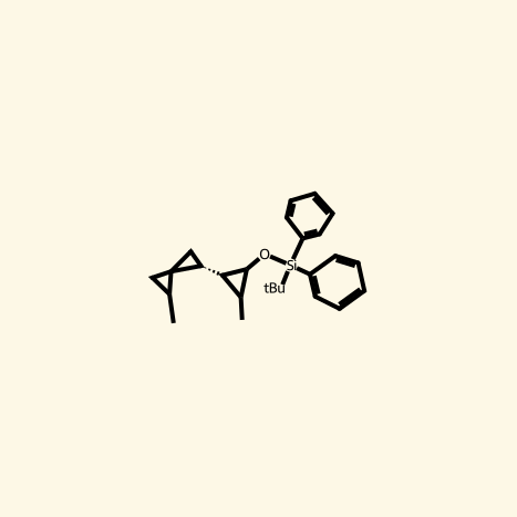 CC1C(O[Si](c2ccccc2)(c2ccccc2)C(C)(C)C)C1[C@H]1CC12CC2C